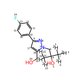 [2H]C([2H])([2H])C(O)(Cn1nc(-c2ccc(F)cc2)cc1CO)C([2H])([2H])[2H]